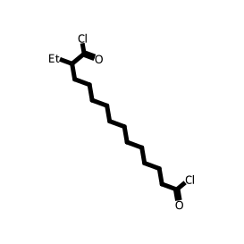 CCC(CCCCCCCCCCCC(=O)Cl)C(=O)Cl